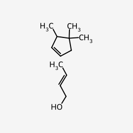 CC1C=CCC1(C)C.CC=CCO